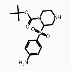 CC(C)(C)OC(=O)N1CCNCC1S(=O)(=O)c1ccc(N)cc1